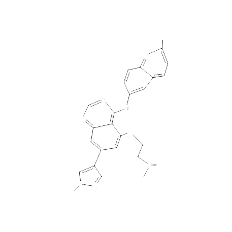 [2H]c1ccc2cc(Nc3ncnc4cc(-c5cnn(C)c5)cc(O[C@H](C)CN(C)C)c34)ccc2n1